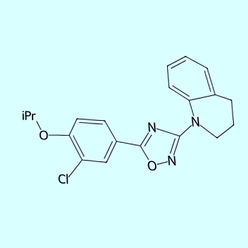 CC(C)Oc1ccc(-c2nc(N3CCCc4ccccc43)no2)cc1Cl